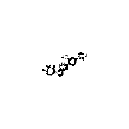 CC1C(n2ccc3cc(-c4ccc(-n5ccnn5)cc4O)nnc32)CCN(C)C1(C)C